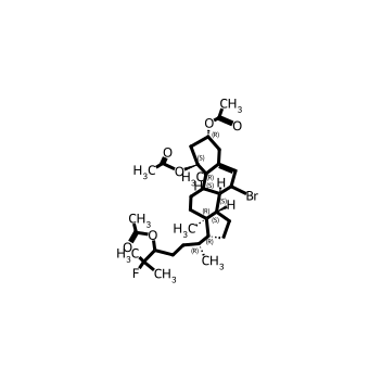 CC(=O)OC(CC[C@@H](C)[C@H]1CC[C@H]2[C@@H]3C(Br)C=C4C[C@@H](OC(C)=O)C[C@H](OC(C)=O)[C@]4(C)[C@H]3CC[C@]12C)C(C)(C)F